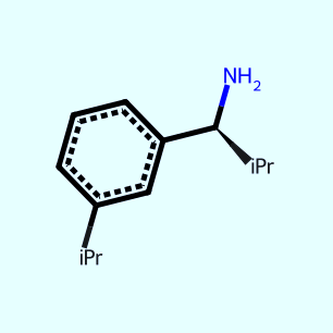 CC(C)c1cccc([C@@H](N)C(C)C)c1